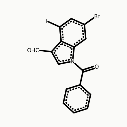 O=Cc1cn(C(=O)c2ccccc2)c2cc(Br)cc(I)c12